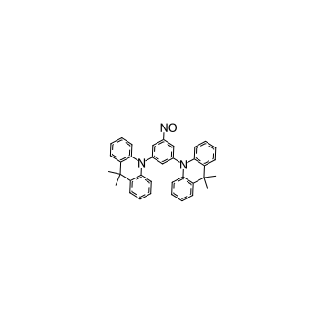 CC1(C)c2ccccc2N(c2cc(N=O)cc(N3c4ccccc4C(C)(C)c4ccccc43)c2)c2ccccc21